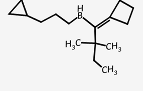 CCC(C)(C)C(BCCCC1CC1)=C1CCC1